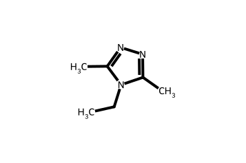 CCn1c(C)nnc1C